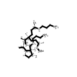 CCCCO[C@@H](C)CC[C@](C)(CC[C@H](CC)OCCCN)[C@H](C)C[C@H](OCCCN)[C@@]1(C)[C@H](C)CC[C@@H]1[C@H](C)CCCC